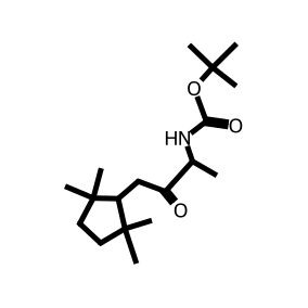 CC(NC(=O)OC(C)(C)C)C(=O)CC1C(C)(C)CCC1(C)C